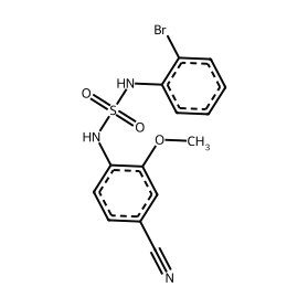 COc1cc(C#N)ccc1NS(=O)(=O)Nc1ccccc1Br